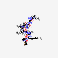 CCCCCCCC[C@H](NC(=O)[C@@H]1CCCN1C(=O)c1cccs1)C(=O)N[C@@H](CC(C)C)C(=O)NC(C)(C)C(=O)N[C@@H](CC(C)C)C(=O)N[C@@H](CC(C)C)C(=O)NC(C)(C)C(=O)NC(C)(C)C(=O)NCCC(=O)N[C@@H](C)CN(C)C